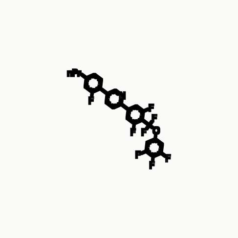 CCCc1ccc(-c2ccc(-c3cc(F)c(C(F)(F)Oc4cc(F)c(F)c(F)c4)c(F)c3)nc2)c(F)c1